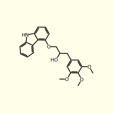 COc1cc(CC(O)COc2cccc3[nH]c4ccccc4c23)cc(OC)c1OC